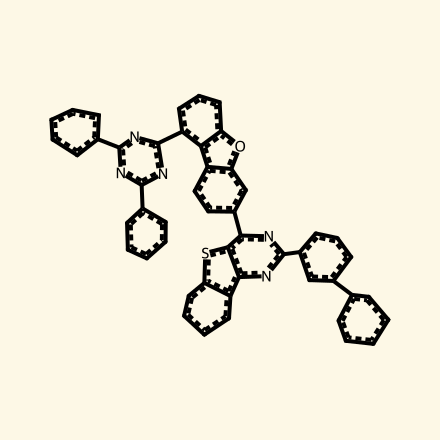 c1ccc(-c2cccc(-c3nc(-c4ccc5c(c4)oc4cccc(-c6nc(-c7ccccc7)nc(-c7ccccc7)n6)c45)c4sc5ccccc5c4n3)c2)cc1